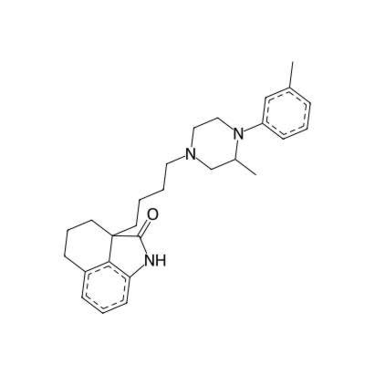 Cc1cccc(N2CCN(CCCCC34CCCc5cccc(c53)NC4=O)CC2C)c1